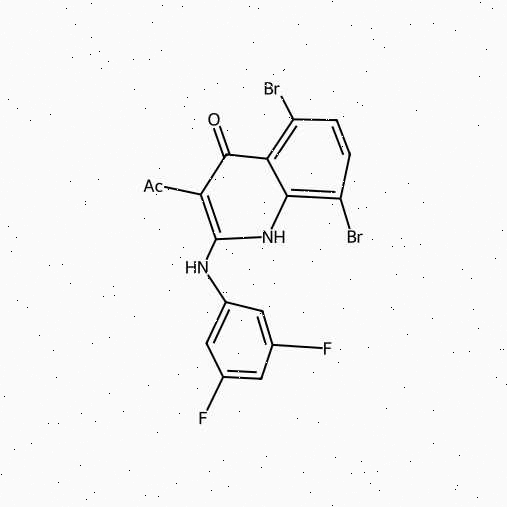 CC(=O)c1c(Nc2cc(F)cc(F)c2)[nH]c2c(Br)ccc(Br)c2c1=O